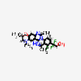 Cc1nc(N[C@H](C)c2cccc(C(F)(F)CO)c2F)c2cc3c(cc2n1)O[C@@H](C)CN3C